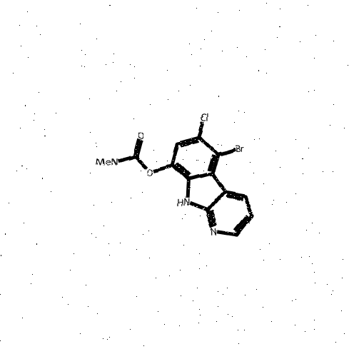 CNC(=O)Oc1cc(Cl)c(Br)c2c1[nH]c1ncccc12